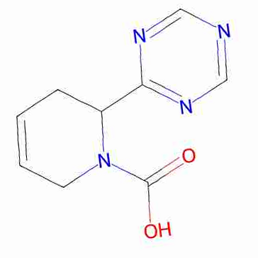 O=C(O)N1CC=CCC1c1ncncn1